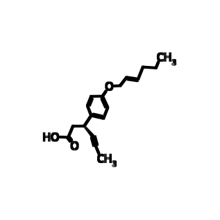 CC#C[C@@H](CC(=O)O)c1ccc(OC/C=C/CCC)cc1